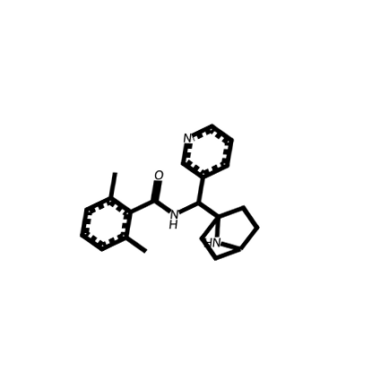 Cc1cccc(C)c1C(=O)NC(c1cccnc1)C12CCC(CC1)N2